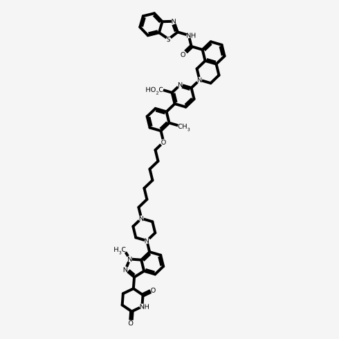 Cc1c(OCCCCCCCN2CCN(c3cccc4c(C5CCC(=O)NC5=O)nn(C)c34)CC2)cccc1-c1ccc(N2CCc3cccc(C(=O)Nc4nc5ccccc5s4)c3C2)nc1C(=O)O